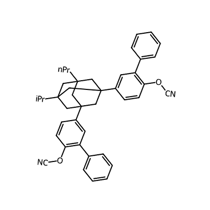 CCCC12CC3(c4ccc(OC#N)c(-c5ccccc5)c4)CC(c4ccc(OC#N)c(-c5ccccc5)c4)(C1)CC(C(C)C)(C2)C3